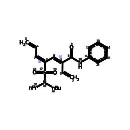 C=C/C=C(\C=C(/C=C)C(=O)Nc1ccccc1)S(=O)(=O)N(CCC)CCCC